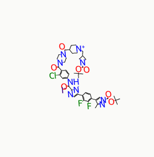 Cc1nn(C(=O)OC(C)(C)C)cc1-c1ccc(-c2cnc(C(=O)Nc3ccc(C(=O)N4CCN(C(=O)C5CC[N+](C)(CC6CN(C(=O)OC(C)(C)C)C6)CC5)CC4)c(Cl)c3)n2C)c(F)c1F.[I-]